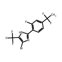 CC(F)(F)c1ccc(-c2nc(Br)c(C(F)(F)F)[nH]2)c(F)c1